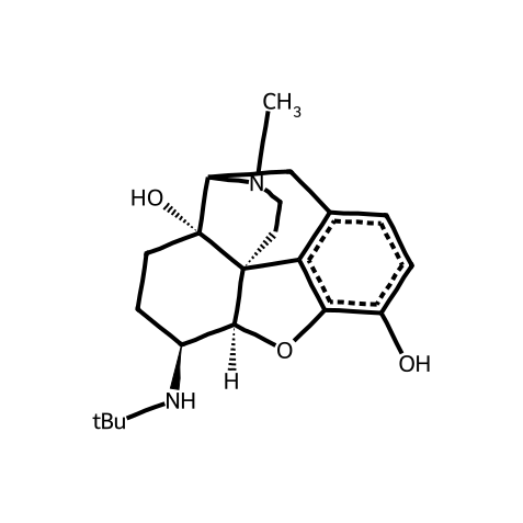 CN1CC[C@]23c4c5ccc(O)c4O[C@H]2[C@@H](NC(C)(C)C)CC[C@@]3(O)C1C5